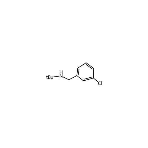 CC(C)(C)NCc1cccc(Cl)c1